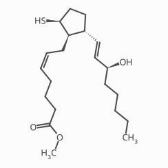 CCCCC[C@H](O)/C=C/[C@H]1CC[C@H](S)[C@@H]1C/C=C\CCCC(=O)OC